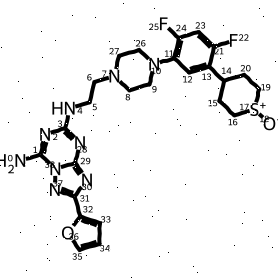 Nc1nc(NCCN2CCN(c3cc(C4CC[S+]([O-])CC4)c(F)cc3F)CC2)nc2nc(-c3ccco3)nn12